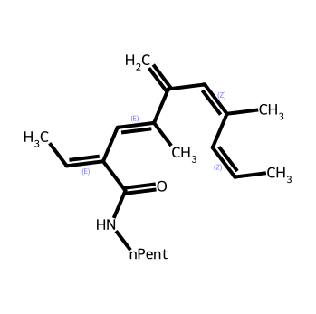 C=C(/C=C(C)\C=C/C)/C(C)=C/C(=C\C)C(=O)NCCCCC